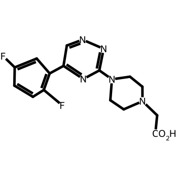 O=C(O)CN1CCN(c2nncc(-c3cc(F)ccc3F)n2)CC1